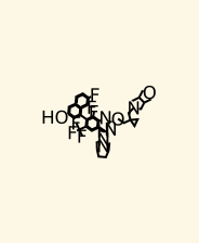 Oc1cc(-c2c(C(F)(F)F)cc3c(N4CC5CCC(C4)N5)nc(OCC4(CN5CC6COCC6C5)CC4)nc3c2F)c2c(F)c(F)ccc2c1